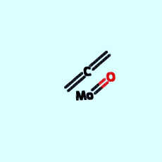 C=C=C.[O]=[Mo]